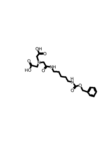 O=C(O)CN(CC(=O)O)CC(=O)NCCCCCNC(=O)OCc1ccccc1